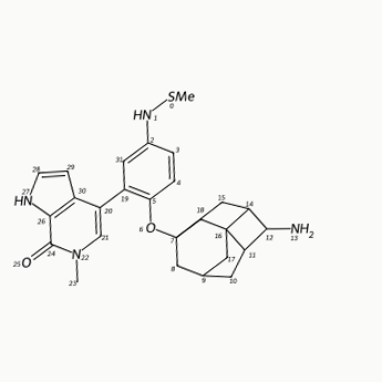 CSNc1ccc(OC23CC4CC5C(N)C(C2)C5(C4)C3)c(-c2cn(C)c(=O)c3[nH]ccc23)c1